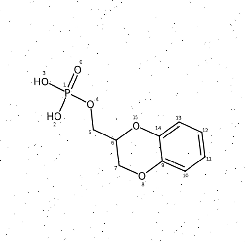 O=P(O)(O)OCC1COc2ccccc2O1